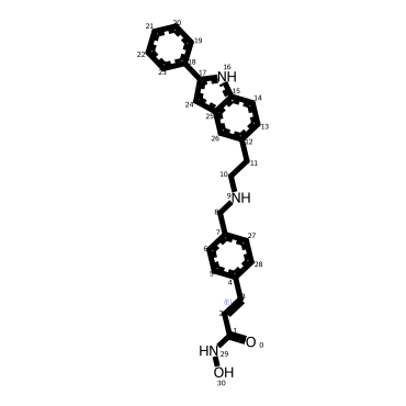 O=C(/C=C/c1ccc(CNCCc2ccc3[nH]c(-c4ccccc4)cc3c2)cc1)NO